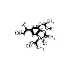 CCOC(C)Oc1cc(C(CC(C)(C)C)C(C)C)cc(OC(C)OCC)c1OC(C)OCC